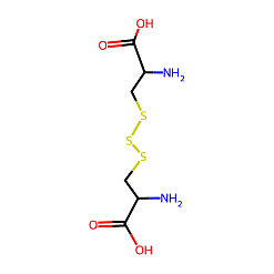 NC(CSSSCC(N)C(=O)O)C(=O)O